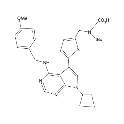 COc1ccc(CNc2ncnc3c2c(-c2ccc(CN(C(=O)O)C(C)(C)C)s2)cn3C2CCC2)cc1